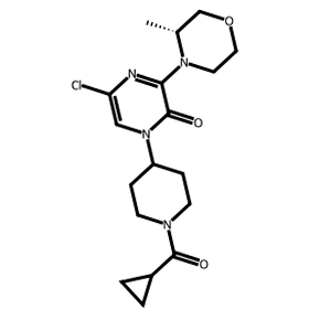 C[C@@H]1COCCN1c1nc(Cl)cn(C2CCN(C(=O)C3CC3)CC2)c1=O